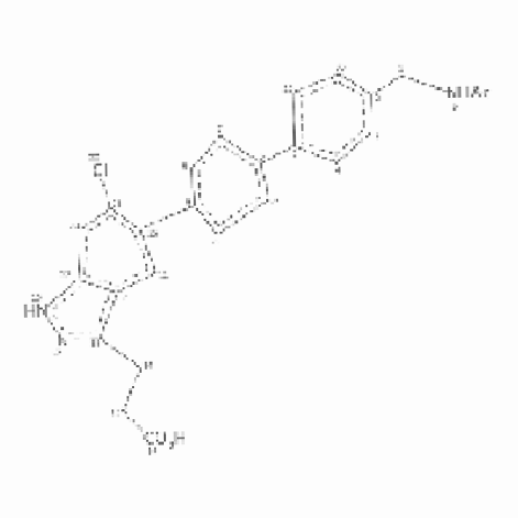 CC(=O)NCc1ccc(-c2ccc(-c3cc4c(CCC(=O)O)n[nH]c4cc3Cl)cc2)cc1